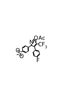 CC(=O)On1nc(-c2ccc(S(C)(=O)=O)cc2)c(-c2ccc(F)cc2)c1C(F)(F)F